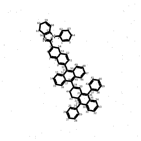 C1=CC(n2c(C3=CC=C4C=C(c5c6ccccc6c(C6=Cc7c(c(-c8ccccc8)c8ccccc8c7-c7ccccc7)CC6)c6ccccc56)C=CC4C3)nc3c2C=CCC3)=CCC1